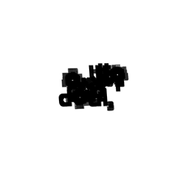 CN1C(=O)C(NC(=S)NCc2c(F)cccc2F)N=C(c2ccccc2Cl)c2cc(Cl)ccc21